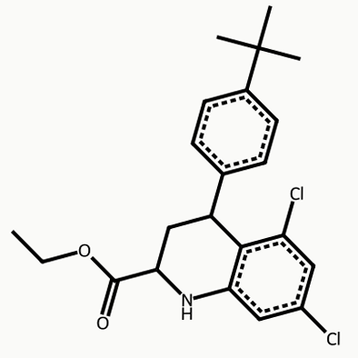 CCOC(=O)C1CC(c2ccc(C(C)(C)C)cc2)c2c(Cl)cc(Cl)cc2N1